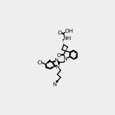 N#CCCCn1c(CN2c3ccccc3[C@]3(C[C@@H](CNC(=O)O)C3)C2=O)nc2cc(Cl)ccc21